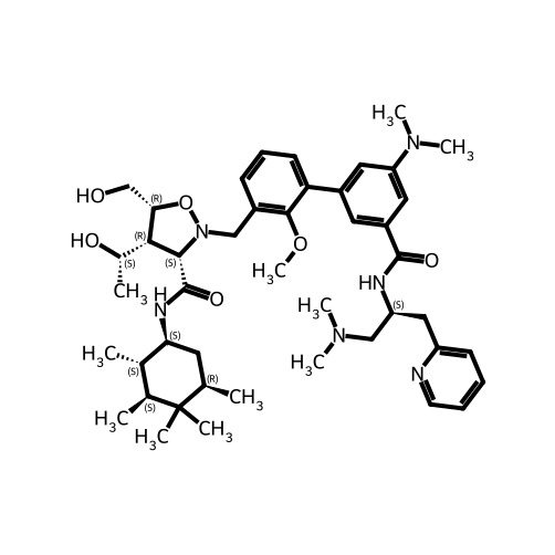 COc1c(CN2O[C@@H](CO)[C@@H]([C@H](C)O)[C@H]2C(=O)N[C@H]2C[C@@H](C)C(C)(C)[C@@H](C)[C@@H]2C)cccc1-c1cc(C(=O)N[C@@H](Cc2ccccn2)CN(C)C)cc(N(C)C)c1